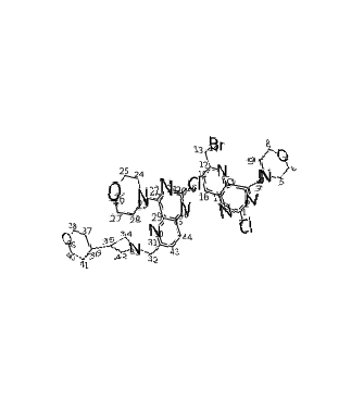 Clc1nc(N2CCOCC2)c2nc(CBr)ccc2n1.Clc1nc(N2CCOCC2)c2nc(CN3CC(C4CCOCC4)C3)ccc2n1